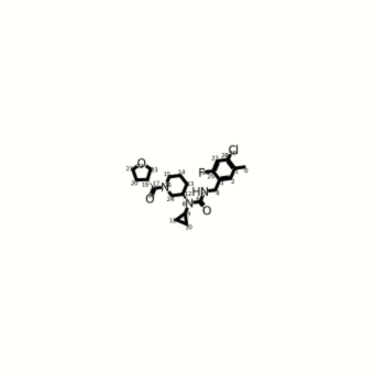 Cc1cc(CNC(=O)N(C2CC2)[C@@H]2CCCN(C(=O)[C@@H]3CCOC3)C2)c(F)cc1Cl